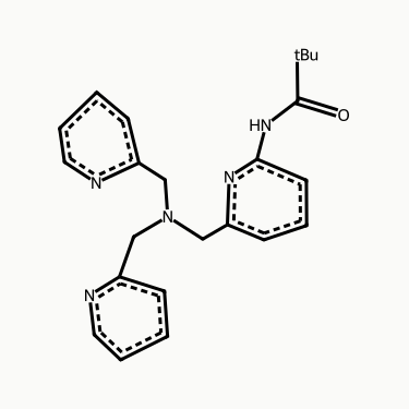 CC(C)(C)C(=O)Nc1cccc(CN(Cc2ccccn2)Cc2ccccn2)n1